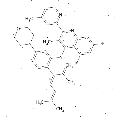 C=C(C)/C(=C\C=C(C)C)c1cnc(N2CCOCC2)cc1Nc1c(C)c(-c2cc(C)ccn2)nc2cc(F)cc(F)c12